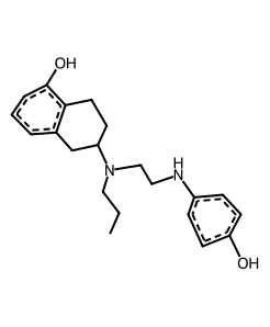 CCCN(CCNc1ccc(O)cc1)C1CCc2c(O)cccc2C1